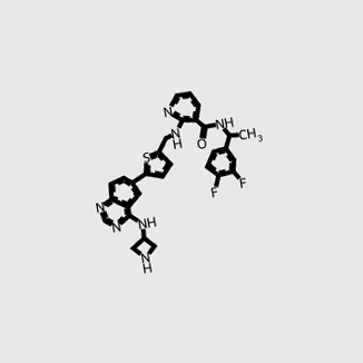 CC(NC(=O)c1cccnc1NCc1ccc(-c2ccc3ncnc(NC4CNC4)c3c2)s1)c1ccc(F)c(F)c1